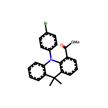 COC(=O)c1cccc2c1N(c1ccc(Br)cc1)c1ccccc1C2(C)C